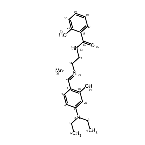 CCN(CC)c1ccc(C=NCCNC(=O)c2ccccc2O)c(O)c1.[Mn]